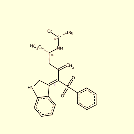 C=C(C[C@@H](N[S@+]([O-])C(C)(C)C)C(=O)O)/C(=C1\CNc2ccccc21)S(=O)(=O)c1ccccc1